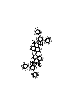 O=c1c2cccc3c(-c4ccc5c6c4cccc6c(=O)n4c6cc(-c7ccccc7)cc(-c7ccccc7)c6nc54)ccc(c32)c2nc3c(-c4ccccc4)cc(-c4ccccc4)cc3n12